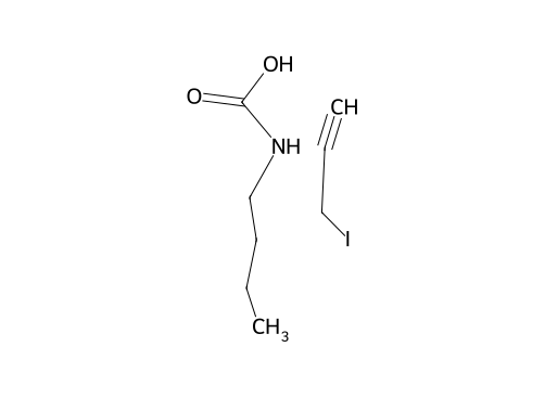 C#CCI.CCCCNC(=O)O